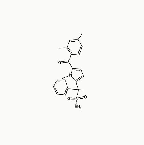 Cc1ccc(C(=O)c2ccc(C(C)(c3ccccc3)S(N)(=O)=O)n2C)c(C)c1